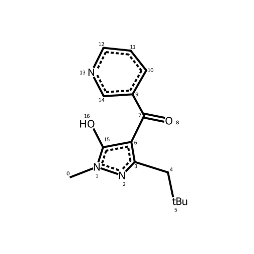 Cn1nc(CC(C)(C)C)c(C(=O)c2cccnc2)c1O